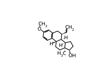 C=C[C@@H]1Cc2cc(OC)ccc2[C@H]2CC[C@]3(C)[C@H](O)CC[C@@H]3[C@H]12